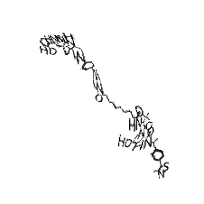 Cc1ncsc1-c1ccc([C@H](C)NC(=O)[C@@H]2C[C@@H](O)CN2C(=O)[C@@H](NC(=O)CCCCCCCCC(=O)N2CCN(c3ccc(N4CCCC(O/C(=C/C(=N)c5ccccc5O)C(=N)N)C4)cc3)CC2)C(C)(C)C)cc1